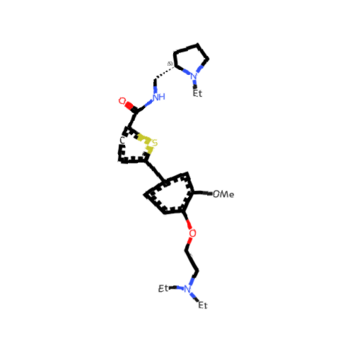 CCN(CC)CCOc1ccc(-c2ccc(C(=O)NC[C@@H]3CCCN3CC)s2)cc1OC